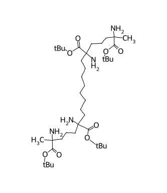 CC(C)(C)OC(=O)C(C)(N)CCCC(N)(CCCCCCCCC(N)(CCCC(C)(N)C(=O)OC(C)(C)C)C(=O)OC(C)(C)C)C(=O)OC(C)(C)C